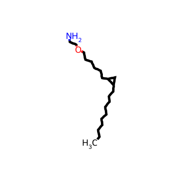 CCCCCCCCCCC1CC1CCCCCCOCCN